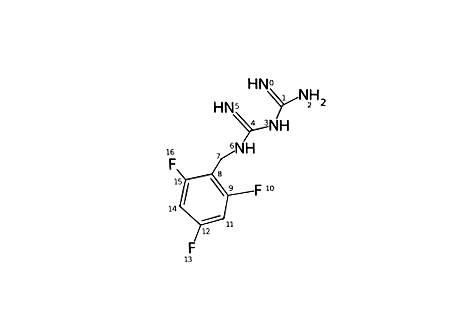 N=C(N)NC(=N)NCc1c(F)cc(F)cc1F